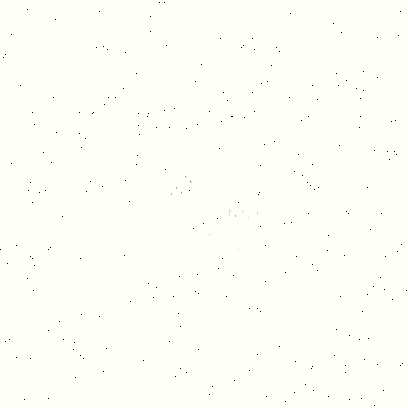 O=CCCn1cc(-c2ccc3ccccc3n2)cn1